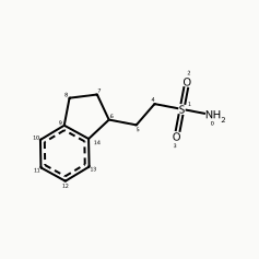 NS(=O)(=O)CCC1CCc2ccccc21